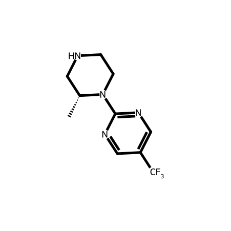 C[C@@H]1CNCCN1c1ncc(C(F)(F)F)cn1